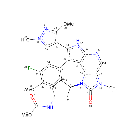 COC(=O)N[C@@H]1CC[C@@H](n2c(=O)n(C)c3cnc4[nH]c(-c5cn(C)nc5OC)c(-c5ccc(OC)c(F)c5)c4c32)C1